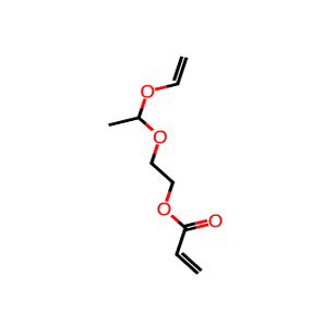 C=COC(C)OCCOC(=O)C=C